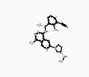 CN[C@H]1CCN(c2cc3c(N[C@H](C)c4cccc(C#N)c4C)nnc(C)c3cn2)C1